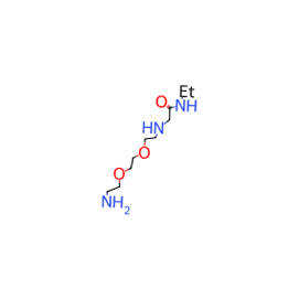 CCNC(=O)CNCCOCCOCCN